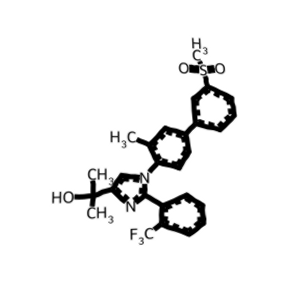 Cc1cc(-c2cccc(S(C)(=O)=O)c2)ccc1-n1cc(C(C)(C)O)nc1-c1ccccc1C(F)(F)F